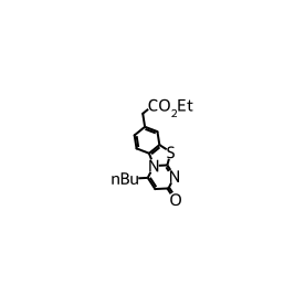 CCCCc1cc(=O)nc2sc3cc(CC(=O)OCC)ccc3n12